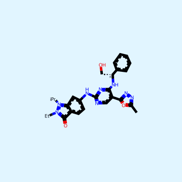 CCn1c(=O)c2ccc(Nc3ncc(-c4nnc(C)o4)c(N[C@H](CO)c4ccccc4)n3)cc2n1C(C)C